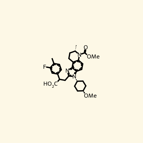 COC(=O)N1c2ccc3c(nc(CC(C(=O)O)c4ccc(C)c(F)c4)n3[C@H]3CC[C@H](OC)CC3)c2CC[C@@H]1C